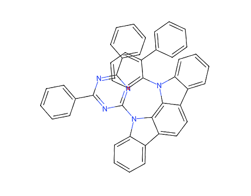 c1ccc(-c2nc(-c3ccccc3)nc(-n3c4ccccc4c4ccc5c6ccccc6n(-c6ccccc6-c6ccccc6)c5c43)n2)cc1